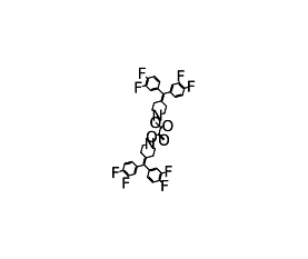 O=C(ON1CCC(=C(c2ccc(F)c(F)c2)c2ccc(F)c(F)c2)CC1)C(=O)ON1CCC(=C(c2ccc(F)c(F)c2)c2ccc(F)c(F)c2)CC1